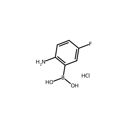 Cl.Nc1ccc(F)cc1B(O)O